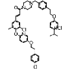 Cc1cc(C=CC(=O)N2CCN(Cc3ccc(CCOc4ccc(C(C)C)cc4)cc3)CC2)cc(Cl)c1Oc1ccc(OCCc2ccc(Cl)cc2)cn1.Cl